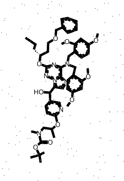 CCC[C@H](CCOCc1ccccc1)Oc1nc(N(Cc2ccc(OC)cc2OC)Cc2ccc(OC)cc2OC)c2ncc(C(O)c3ccc(OC(C)CN(C)C(=O)OC(C)(C)C)nc3)n2n1